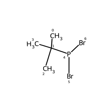 CC(C)(C)P(Br)Br